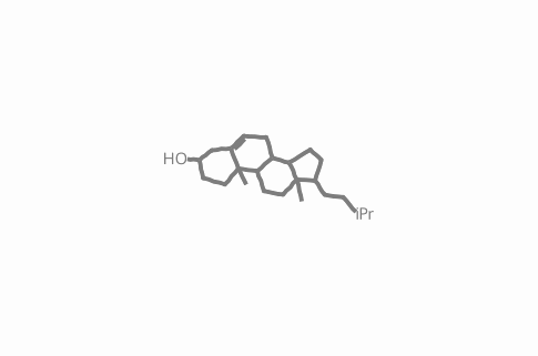 CC(C)CCC1CCC2C3CC=C4CC(O)CCC4(C)C3CCC12C